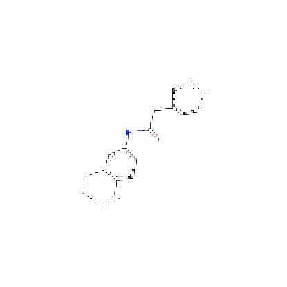 O=C(Cc1ccccc1)Nc1ccc2c(c1)CCCN2